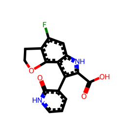 O=C(O)c1[nH]c2cc(F)c3c(c2c1-c1ccc[nH]c1=O)OCC3